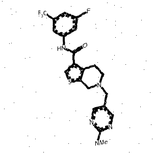 CNc1ncc(CN2CCc3c(C(=O)Nc4cc(F)cc(C(F)(F)F)c4)csc3C2)cn1